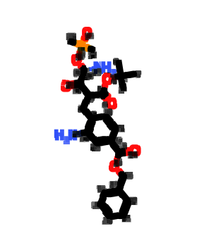 CC(C)(C)OC(=O)C(Cc1ccc(C(=O)OCc2ccccc2)cc1N)C(=O)[C@@H](N)OP(C)(C)=O